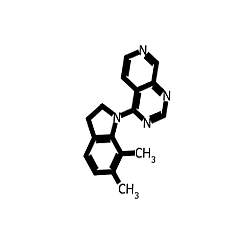 Cc1ccc2c(c1C)N(c1ncnc3cnccc13)CC2